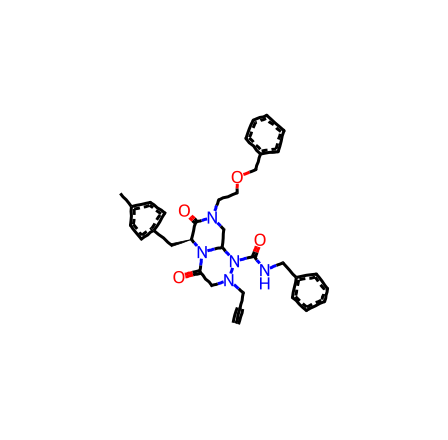 C#CCN1CC(=O)N2C(CN(CCOCc3ccccc3)C(=O)[C@@H]2Cc2ccc(C)cc2)N1C(=O)NCc1ccccc1